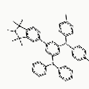 Cc1ccc(N(c2ccc(C)cc2)c2cc(-c3ccc4c(c3)C(C)(C)N(C)C4(C)C)cc(N(c3ccccc3)c3ccccc3)c2)cc1